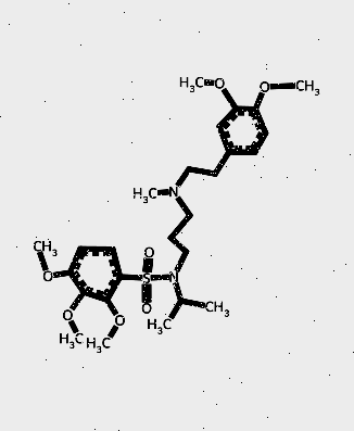 COc1ccc(CCN(C)CCCN(C(C)C)S(=O)(=O)c2ccc(OC)c(OC)c2OC)cc1OC